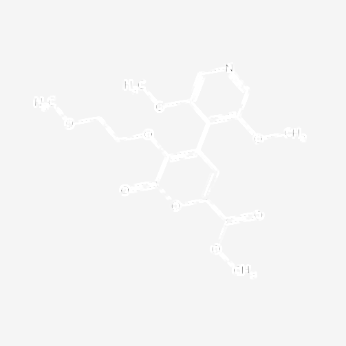 COCCOc1c(-c2c(OC)cncc2OC)cc(C(=O)OC)oc1=O